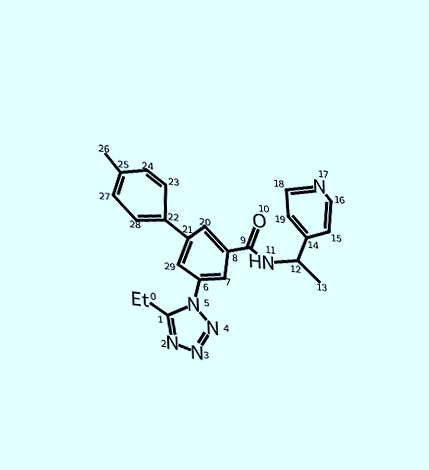 CCc1nnnn1-c1cc(C(=O)NC(C)c2ccncc2)cc(-c2ccc(C)cc2)c1